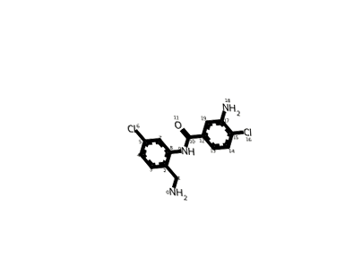 NCc1ccc(Cl)cc1NC(=O)c1ccc(Cl)c(N)c1